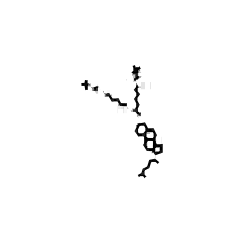 CC(C)CCCC(C)[C@H]1CC[C@H]2[C@@H]3CC=C4C[C@@H](OC(=O)C(CCCCNC(=O)OC(C)(C)C)NCCCCCCNC(=O)OC(C)(C)C)CC[C@]4(C)[C@H]3CC[C@]12C